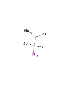 CC(C)(C)P(C(C)(C)C)C(P)(C(C)(C)C)C(C)(C)C